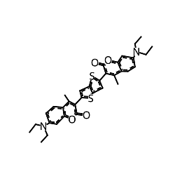 CCN(CC)c1ccc2c(C)c(-c3cc4sc(-c5c(C)c6ccc(N(CC)CC)cc6oc5=O)cc4s3)c(=O)oc2c1